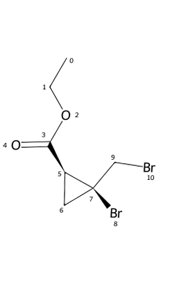 CCOC(=O)[C@@H]1C[C@@]1(Br)CBr